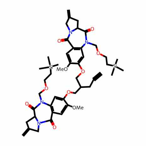 C#CCC(COc1cc2c(cc1OC)C(=O)N1CC(=C)CC1C(=O)N2COCC[Si](C)(C)C)COc1cc2c(cc1OC)C(=O)N1CC(=C)CC1C(=O)N2COCC[Si](C)(C)C